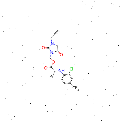 C#CCN1CC(=O)N(COC(=O)C(Nc2ccc(C(F)(F)F)cc2Cl)C(C)C)C1=O